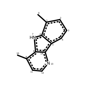 Cc1cccc2c1[nH]c1c(C)ccnc12